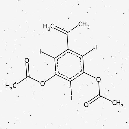 C=C(C)c1c(I)c(OC(C)=O)c(I)c(OC(C)=O)c1I